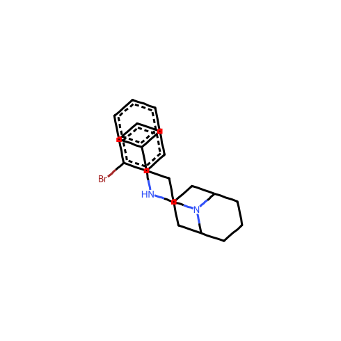 Brc1ccccc1NC1CC2CCCC(C1)N2CCCc1ccccc1